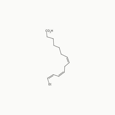 CC/C=C\C=C/C/C=C\CCCCCC(=O)O